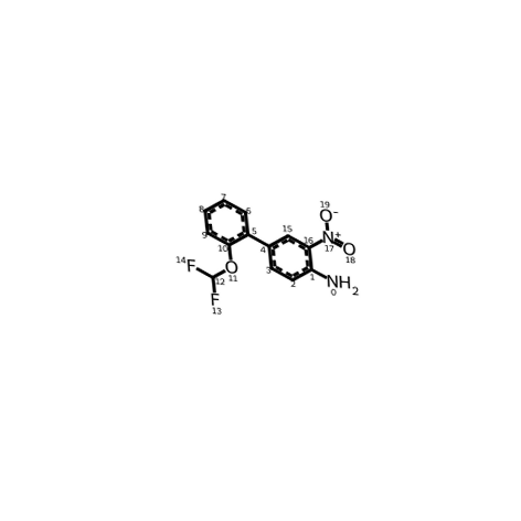 Nc1ccc(-c2ccccc2OC(F)F)cc1[N+](=O)[O-]